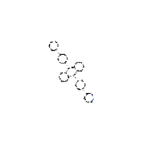 c1ccc(-c2ccc(-c3c4ccccc4c(-c4ccc(-c5cccnc5)cc4)c4ccccc34)cc2)cc1